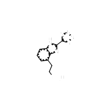 O=C(O)CCc1cccc2[nH]c(-c3nnn[nH]3)nc12